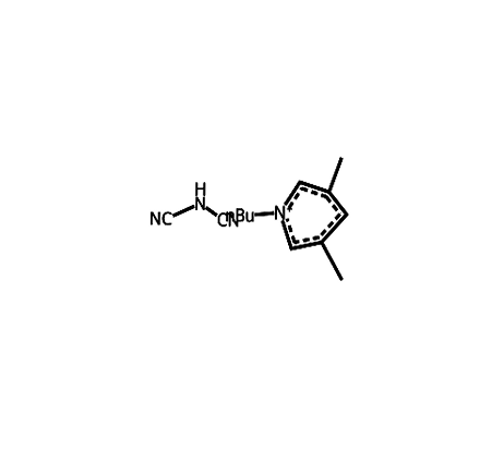 CCCC[n+]1cc(C)cc(C)c1.N#CNC#N